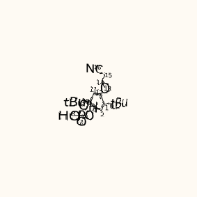 CC(C)(C)c1cc(OP(=O)(O)O)c(C(C)(C)C)cc1OCCC#N